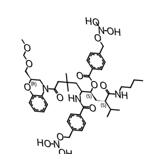 CCCCNC(=O)[C@@H](C[C@H](OC(=O)c1ccc(CON(O)O)cc1)C(CC(C)(C)CC(=O)N1C[C@H](COCOC)Oc2ccccc21)NC(=O)c1ccc(CON(O)O)cc1)C(C)C